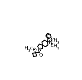 COC1(C(=O)N2CCC3(CCC(c4cccs4)(N(C)C)CC3)C2)CCC1